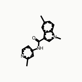 Cc1ccc2c(c1)c(C(=O)Nc1ccnc(C)c1)cn2C